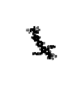 C=C(C)C(=O)Oc1ccc(-c2ccc(-c3cc(COC)c(OC(=O)C(=C)C)c(COC)c3)cc2)cc1F